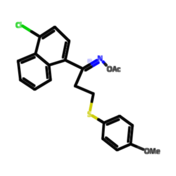 COc1ccc(SCC/C(=N\OC(C)=O)c2ccc(Cl)c3ccccc23)cc1